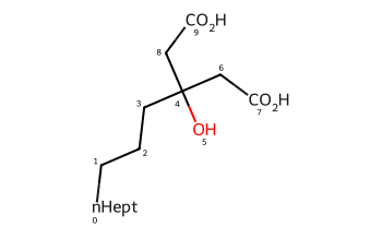 CCCCCCCCCCC(O)(CC(=O)O)CC(=O)O